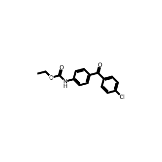 CCOC(=O)Nc1ccc(C(=O)c2ccc(Cl)cc2)cc1